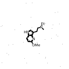 CCN(C)CCc1c[nH]c2ccc(OC)nc12